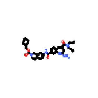 CCCN(CCC)C(=O)C1=Cc2ccc(C(=O)Nc3ccc4c(c3)CN(C(=O)OCc3ccccc3)CC4)cc2N=C(N)C1